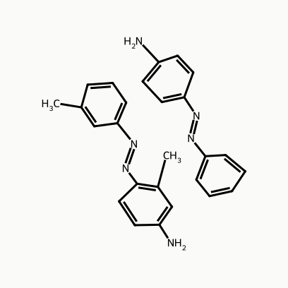 Cc1cccc(N=Nc2ccc(N)cc2C)c1.Nc1ccc(N=Nc2ccccc2)cc1